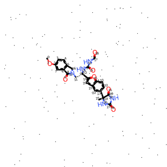 COc1ccc2c(c1)C(=O)N(C[C@H](NC(=O)NC=O)c1cc3cc(C4(C)NC(=O)NC4=O)ccc3o1)C2